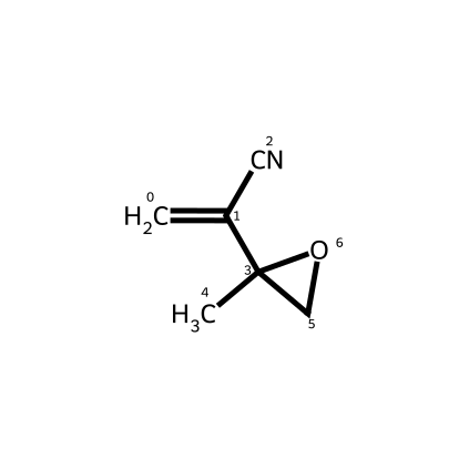 C=C(C#N)C1(C)CO1